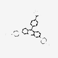 CN1CCN(c2ccc3c(-c4ccc(C(=O)OC(C)(C)C)cc4)c4ccc(=[N+]5CCN(C)CC5)cc-4oc3c2)CC1